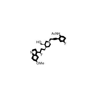 COc1ccc2nccc([C@H](F)CC[C@@H]3CCN(CC#Cc4cc(F)ccc4NC(C)=O)C[C@@H]3CO)c2c1